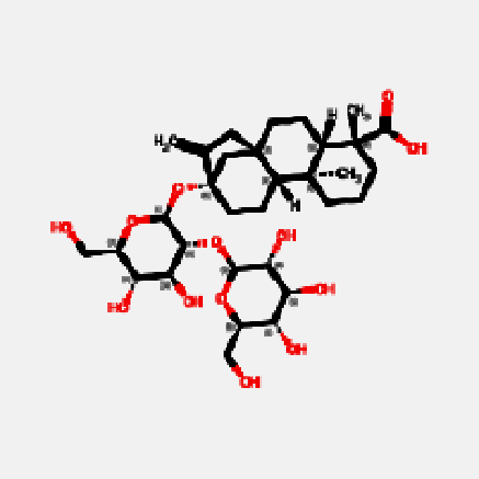 C=C1C[C@@]23CC[C@H]4[C@@](C)(CCC[C@@]4(C)C(=O)O)[C@@H]2CC[C@]1(O[C@@H]1O[C@H](CO)[C@@H](O)[C@H](O)[C@H]1O[C@@H]1O[C@H](CO)[C@@H](O)[C@H](O)[C@H]1O)C3